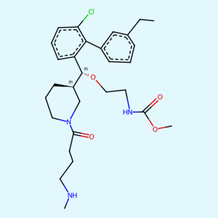 CCc1cccc(-c2c(Cl)cccc2[C@H](OCCNC(=O)OC)[C@@H]2CCCN(C(=O)CCCNC)C2)c1